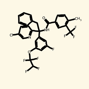 Cc1ccc(C(=O)NC(Cc2ccccc2)(c2cc(F)cc(OC(F)(F)C(F)F)c2)c2ccc(Cl)cn2)cc1C(F)(F)F